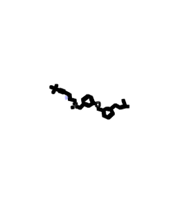 CC(C)=CCc1cccc(COc2cccc(CN(C)C/C=C/C#CC(C)(C)C)c2)c1